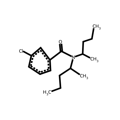 CCCC(C)N(C(=O)c1cccc(Cl)c1)C(C)CCC